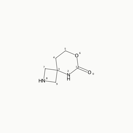 O=C1NC2(CCO1)CNC2